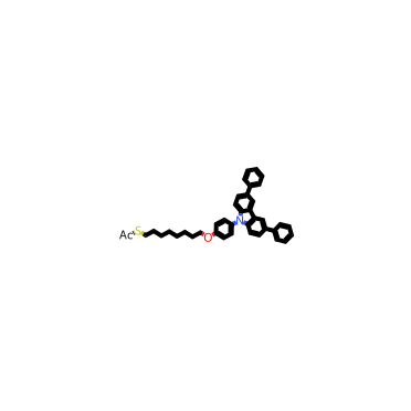 CC(=O)SCCCCCCCCOc1ccc(-n2c3ccc(-c4ccccc4)cc3c3cc(-c4ccccc4)ccc32)cc1